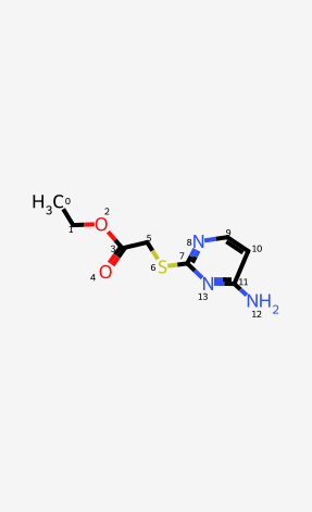 CCOC(=O)CSc1nccc(N)n1